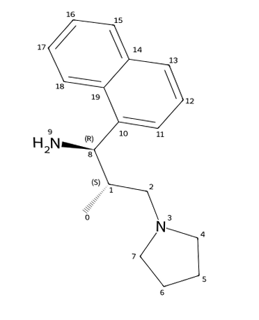 C[C@@H](CN1CCCC1)[C@@H](N)c1cccc2ccccc12